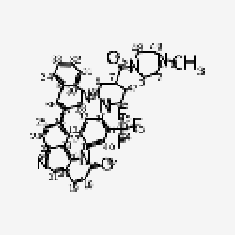 CN1CCN(C(=O)C2CCN(c3ccc(-n4c(=O)ccc5cnc6ccc(-c7cnc8ccccc8c7)cc6c54)cc3C(F)(F)F)CC2)CC1